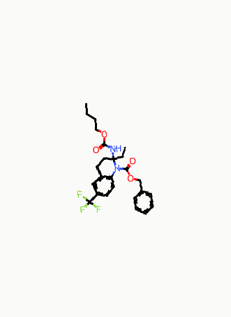 CCCCOC(=O)NC1(CC)CCc2cc(C(F)(F)F)ccc2N1C(=O)OCc1ccccc1